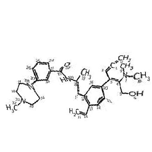 C=C=C/C(=C(/CO)N(C)C)c1ccc(C=C)c(/C=C(\C)NC(=O)c2cccc(N3CCN(C)CC3)c2)c1